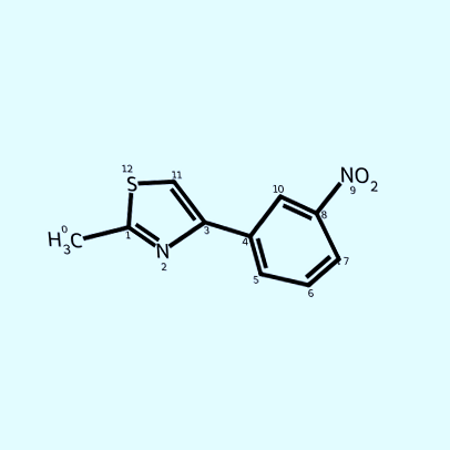 Cc1nc(-c2cc[c]c([N+](=O)[O-])c2)cs1